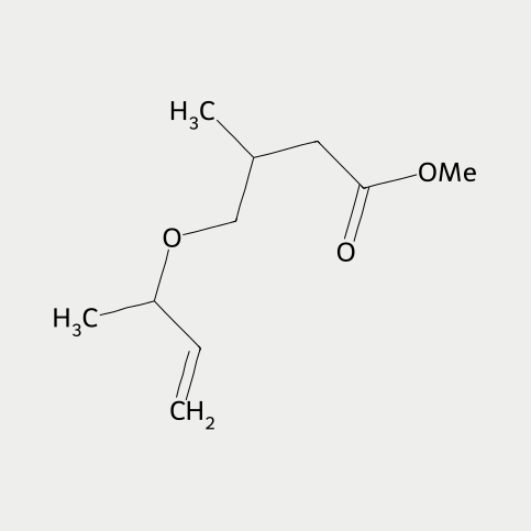 C=CC(C)OCC(C)CC(=O)OC